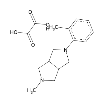 Cc1ccccc1N1CC2CN(C)CC2C1.O=C(O)C(=O)O